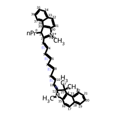 CCCC1C(/C=C/C=C/C=C/C=C/C=C2/N(C)c3ccc4ccccc4c3C2(C)C)=[N+](C)c2ccc3ccccc3c21